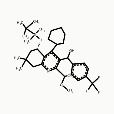 COC(C)c1nc2c(c(C3CCCCC3)c1C(O)c1ccc(C(F)(F)F)cc1)[C@@H](O[Si](C)(C)C(C)(C)C)CC(C)(C)C2